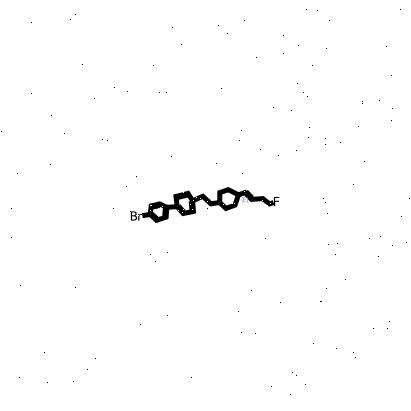 FCC/C=C/C1CCC(CCc2ccc(-c3ccc(Br)cc3)cc2)CC1